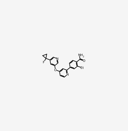 CCc1cc(-c2cc(Oc3cncc(C4(F)CC4)c3)ccn2)ccc1C(N)=O